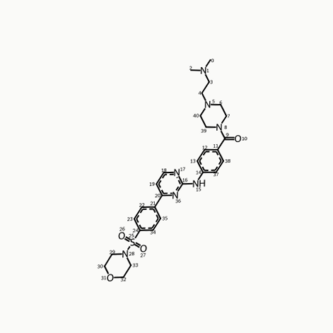 CN(C)CCN1CCN(C(=O)c2ccc(Nc3nccc(-c4ccc(S(=O)(=O)N5CCOCC5)cc4)n3)cc2)CC1